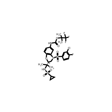 CC(C)(NS(=O)(=O)C1CC1)[C@H]1CN(S(=O)(=O)c2ccc(F)c(Cl)c2)c2cc(NC(=O)OC(C)(C)C(F)(F)F)ccc2O1